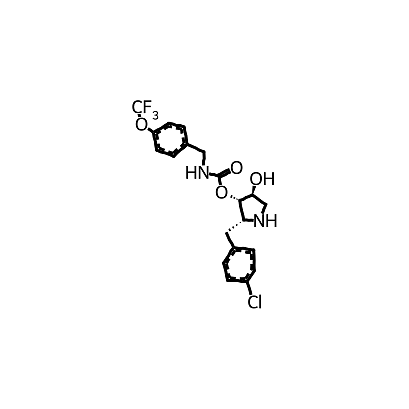 O=C(NCc1ccc(OC(F)(F)F)cc1)O[C@@H]1[C@@H](O)CN[C@@H]1Cc1ccc(Cl)cc1